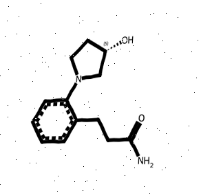 NC(=O)CCc1ccccc1N1CC[C@H](O)C1